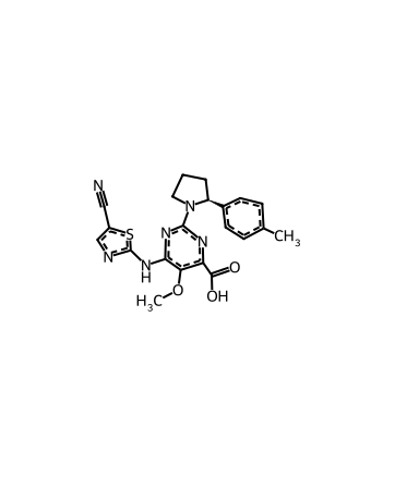 COc1c(Nc2ncc(C#N)s2)nc(N2CCC[C@H]2c2ccc(C)cc2)nc1C(=O)O